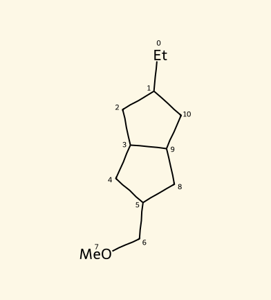 CCC1CC2CC(COC)CC2C1